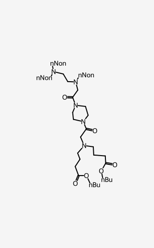 CCCCCCCCCN(CCCCCCCCC)CCN(CCCCCCCCC)CC(=O)N1CCN(C(=O)CN(CCCC(=O)OCCCC)CCCC(=O)OCCCC)CC1